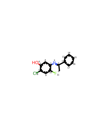 CC(=Nc1cc(O)c(Cl)cc1F)c1ccccc1